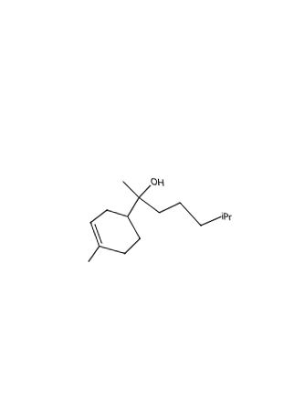 CC1=CCC(C(C)(O)CCCC(C)C)CC1